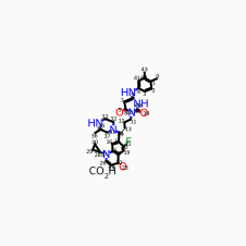 Cc1ccc(Nc2cc(=O)n(CCC[C@H](c3cc4c(cc3F)c(=O)c(C(=O)O)cn4C3CC3)N3CCNC(C)C3)c(=O)[nH]2)cc1C